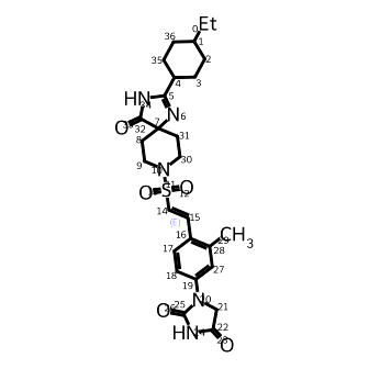 CCC1CCC(C2=NC3(CCN(S(=O)(=O)/C=C/c4ccc(N5CC(=O)NC5=O)cc4C)CC3)C(=O)N2)CC1